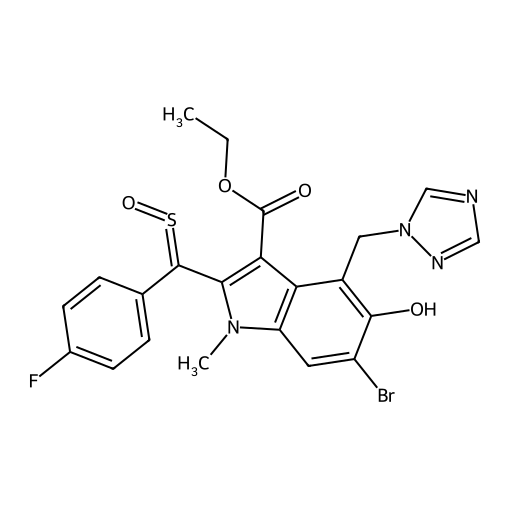 CCOC(=O)c1c(C(=S=O)c2ccc(F)cc2)n(C)c2cc(Br)c(O)c(Cn3cncn3)c12